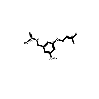 COc1cc(CO[PH](=O)O)cc(OCC=C(C)C)c1